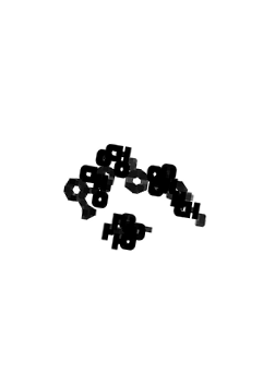 COC1CN(C(=O)c2c(C)cccc2C2CC2)CC1Oc1cccc(OS(=O)(=O)n2cc[n+](C)c2)c1.O=S(=O)([O-])C(F)(F)F